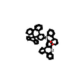 c1ccc(-c2ccccc2N(c2ccc3c(c2)-c2ccccc2-c2ccccc2O3)c2ccc3c(c2)-c2ccccc2-c2ccccc2C32c3ccccc3-c3ccccc32)cc1